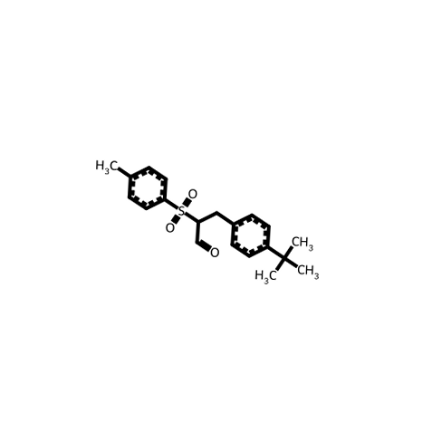 Cc1ccc(S(=O)(=O)C(C=O)Cc2ccc(C(C)(C)C)cc2)cc1